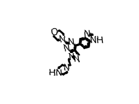 c1nc2cc(-c3nc(N4CCOCC4)nc4c3cnn4CCN3CCNCC3)ccc2[nH]1